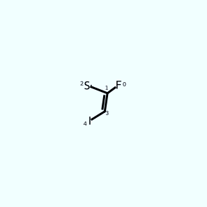 FC([S])=CI